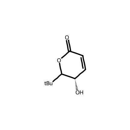 CC(C)(C)C1OC(=O)C=C[C@@H]1O